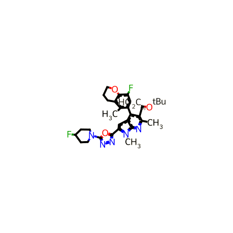 Cc1nc2c(cc(-c3nnc(N4CCC(F)CC4)o3)n2C)c(-c2cc(F)c3c(c2C)CCCO3)c1[C@H](OC(C)(C)C)C(=O)O